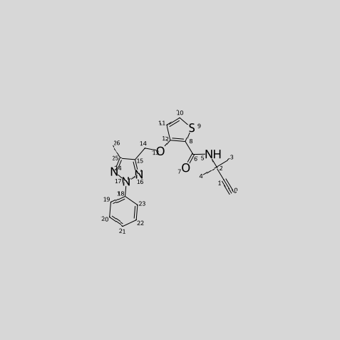 C#CC(C)(C)NC(=O)c1sccc1OCc1nn(-c2ccccc2)nc1C